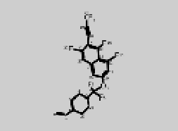 C=CC1CCC(C(F)(F)Oc2cc(F)c3c(F)c(C#CC(F)(F)F)c(F)cc3c2)CC1